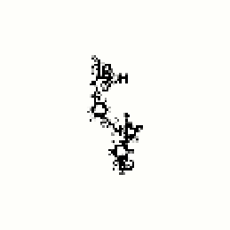 CCOC(CCCc1ccc(OCCn2c(C)ccc2-c2ccc3c(c2)OCO3)cc1)S(=O)(=O)O